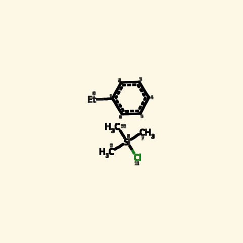 CCc1ccccc1.C[Si](C)(C)Cl